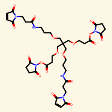 O=C(CCN1C(=O)C=CC1=O)NCCCOCC(COCCCNC(=O)CCN1C(=O)C=CC1=O)(COCCC(=O)ON1C(=O)CCC1=O)COCCC(=O)ON1C(=O)CCC1=O